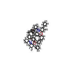 Cc1ccc(N(c2ccccc2C)c2cc3c(c4c2oc2ccccc24)-c2c(cc(N(c4ccc(C)c(-c5ccccc5)c4)c4ccccc4C)c4oc5ccccc5c24)C32c3ccccc3C(C)(C)c3ccccc32)cc1-c1ccccc1